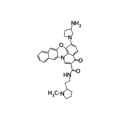 CN1CCCC1CCNC(=O)c1cn2c3c(c(N4CCC(N)C4)ccc3c1=O)Oc1cc3ccccc3cc1-2